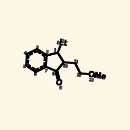 CCC1c2ccccc2C(=O)C1CCOC